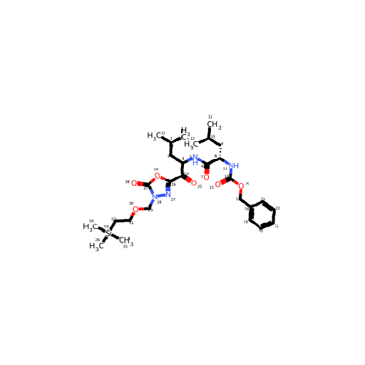 CC(C)CC(NC(=O)[C@H](CC(C)C)NC(=O)OCc1ccccc1)C(=O)c1nn(COCC[Si](C)(C)C)c(=O)o1